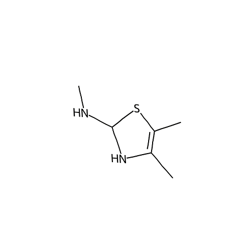 CNC1NC(C)=C(C)S1